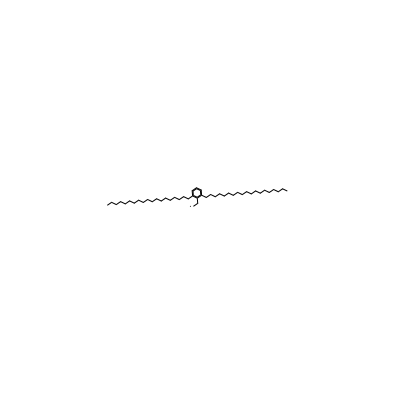 [CH2]Cc1c(CCCCCCCCCCCCCCCCCCC)cccc1CCCCCCCCCCCCCCCCCCC